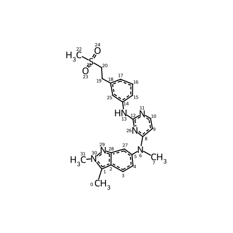 Cc1c2ccc(N(C)c3ccnc(Nc4cccc(CCS(C)(=O)=O)c4)n3)cc2nn1C